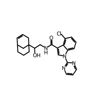 O=C(NCC(O)C12CC=CC(CCC1)C2)c1cn(-c2ncccn2)c2cccc(Cl)c12